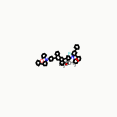 C[Si]1(C)c2cc(N(c3ccccc3)c3c(F)cc(-c4ccccc4)cc3-c3ccccc3)ccc2-c2cc3c4ccccc4c(-c4ccc(N(c5ccccc5)c5cccc6c5oc5ccccc56)cc4)cc3c3cccc1c23